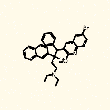 CCN(CC)CCC(O)(c1ccc2ccccc2c1)C(c1ccccc1)c1cc2cc(Br)ccc2nc1OC